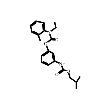 CCN(C(=O)Oc1cccc(NC(=O)OCC(C)C)c1)c1ccccc1C